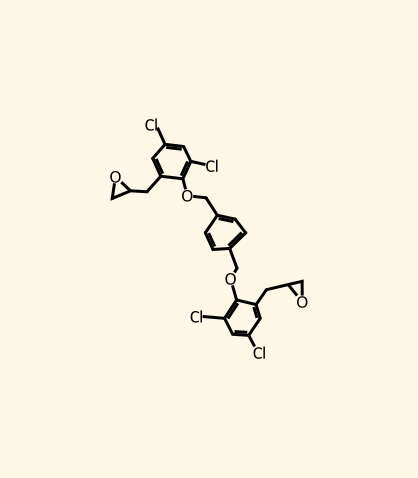 Clc1cc(Cl)c(OCc2ccc(COc3c(Cl)cc(Cl)cc3CC3CO3)cc2)c(CC2CO2)c1